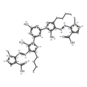 CCCCc1nn(-c2nc(O)nc(-n3nc(CCCC)c(/N=N/c4c(C(=O)O)cnn4C)c3N)n2)c(N)c1/N=N/c1c(C(=O)O)cnn1C